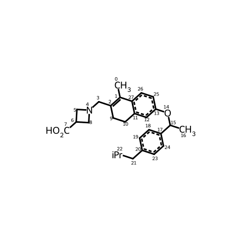 CC1=C(CN2CC(C(=O)O)C2)CCc2cc(OC(C)c3ccc(CC(C)C)cc3)ccc21